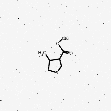 CC1CSCC1C(=O)OC(C)(C)C